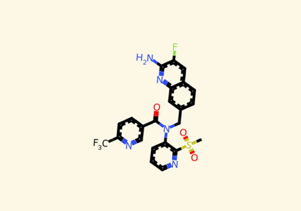 CS(=O)(=O)c1ncccc1N(Cc1ccc2cc(F)c(N)nc2c1)C(=O)c1ccc(C(F)(F)F)nc1